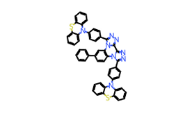 c1ccc(-c2ccc3c(c2)n2c(-c4ccc(N5c6ccccc6Sc6ccccc65)cc4)nnc2c2nnc(-c4ccc(N5c6ccccc6Sc6ccccc65)cc4)n32)cc1